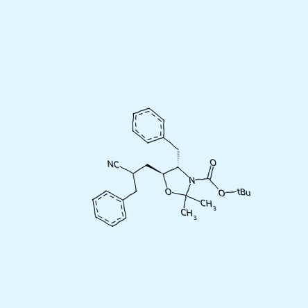 CC(C)(C)OC(=O)N1[C@@H](Cc2ccccc2)[C@H](CC(C#N)Cc2ccccc2)OC1(C)C